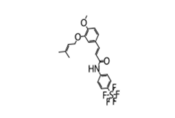 COc1ccc(C=CC(=O)Nc2ccc(S(F)(F)(F)(F)F)cc2)cc1OCC=C(C)C